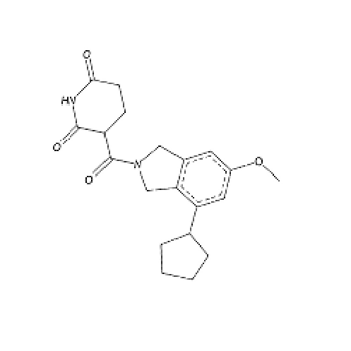 COc1cc2c(c(C3CCCC3)c1)CN(C(=O)C1CCC(=O)NC1=O)C2